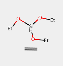 CCO[SiH](OCC)OCC.[CH]=C